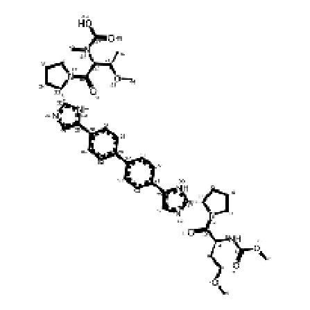 COCC[C@H](NC(=O)OC)C(=O)N1CCC[C@H]1c1ncc(-c2ccc(-c3ccc(-c4cnc([C@@H]5CCCN5C(=O)[C@H]([C@@H](C)OC)N(C)C(=O)O)[nH]4)cc3)cc2)[nH]1